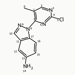 Cc1cnc(Cl)nc1-n1ncc2cc(N)ccc21